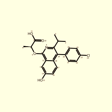 CC(C)c1nc(O[C@@H](C)C(=O)O)c2cc(O)ccc2c1-c1ccc(Cl)cc1